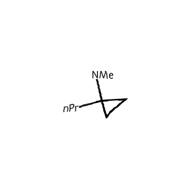 CCCC1(NC)CC1